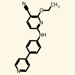 CCOc1nc(Nc2ccc(-c3ccncc3)cc2)ccc1C#N